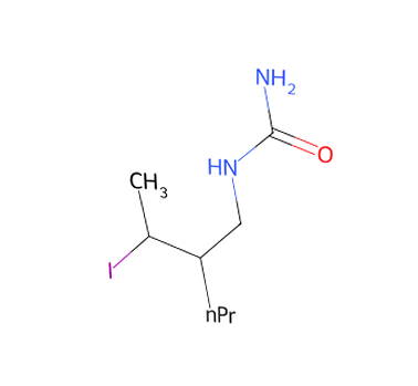 CCCC(CNC(N)=O)C(C)I